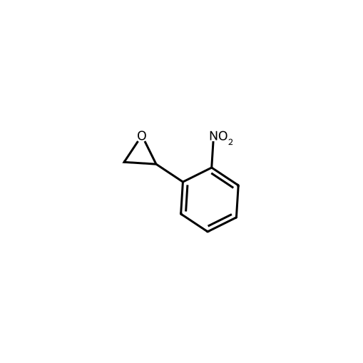 O=[N+]([O-])c1ccccc1C1CO1